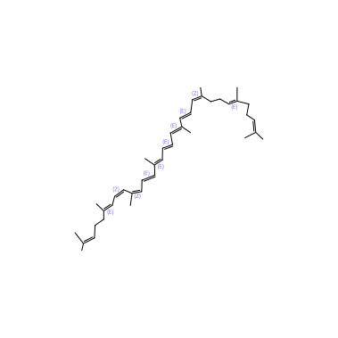 CC(C)=CCC/C(C)=C/C=C\C(C)=C/C=C/C(C)=C/C=C/C=C(C)/C=C/C=C(/C)CC/C=C(\C)CCC=C(C)C